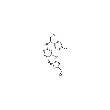 CCOc1cc(Nc2nc(N[C@@H](CO)c3ccc(F)cc3)ncc2Cl)[nH]n1